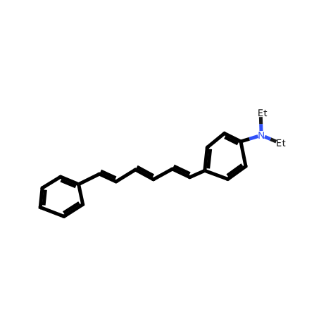 CCN(CC)c1ccc(C=CC=CC=Cc2ccccc2)cc1